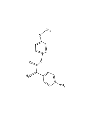 C=C(C(=O)Oc1ccc(OC)cc1)c1ccc(C)cc1